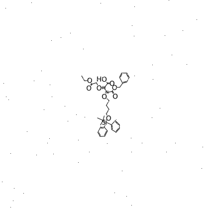 CCOC(=O)CO[C@@H](C(=O)O)[C@@H](OCCCCO[Si](c1ccccc1)(c1ccccc1)C(C)(C)C)C(=O)OCc1ccccc1